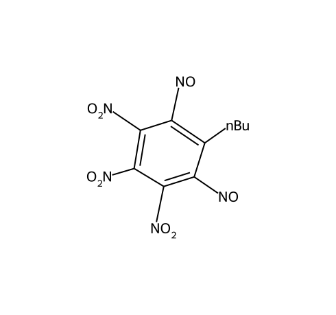 CCCCc1c(N=O)c([N+](=O)[O-])c([N+](=O)[O-])c([N+](=O)[O-])c1N=O